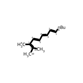 CCCCC=CC=CC=CC(C)=C(C)C